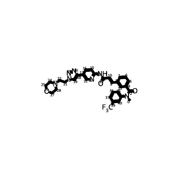 CN(C(=O)c1cccc(C=CC(=O)Nc2ccc(-c3cn(CCN4CCOCC4)nn3)cn2)c1)c1cccc(C(F)(F)F)c1